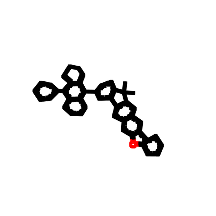 CC1(C)c2ccc(-c3c4c(c(-c5ccccc5)c5ccccc35)=CCCC=4)cc2-c2cc3cc4oc5ccccc5c4cc3cc21